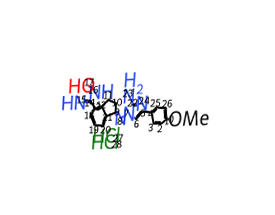 COc1ccc(-c2cn(N=C3CCc4c(C(=N)NO)cccc43)c(N)n2)cc1.Cl.Cl